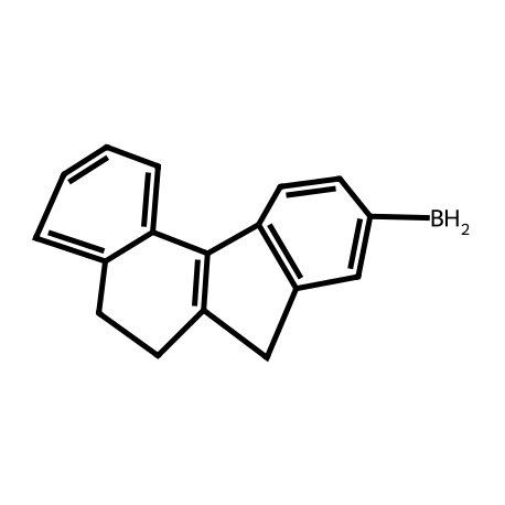 Bc1ccc2c(c1)CC1=C2c2ccccc2CC1